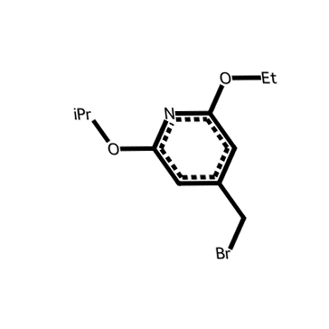 CCOc1cc(CBr)cc(OC(C)C)n1